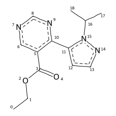 CCOC(=O)c1cncnc1-c1ccnn1C(C)C